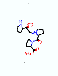 O=C(CN1CCCC1C(=O)N1CCCC1C(=O)O)C1CCCN1